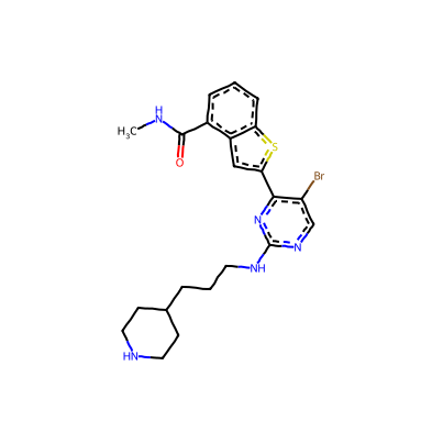 CNC(=O)c1cccc2sc(-c3nc(NCCCC4CCNCC4)ncc3Br)cc12